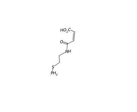 O=C(O)/C=C\C(=O)NCCSP